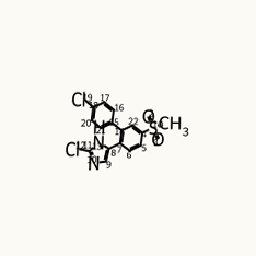 CS(=O)(=O)c1ccc(-c2cnc(Cl)[nH]2)c(-c2ccc(Cl)cc2)c1